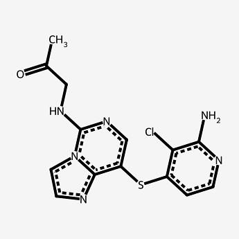 CC(=O)CNc1ncc(Sc2ccnc(N)c2Cl)c2nccn12